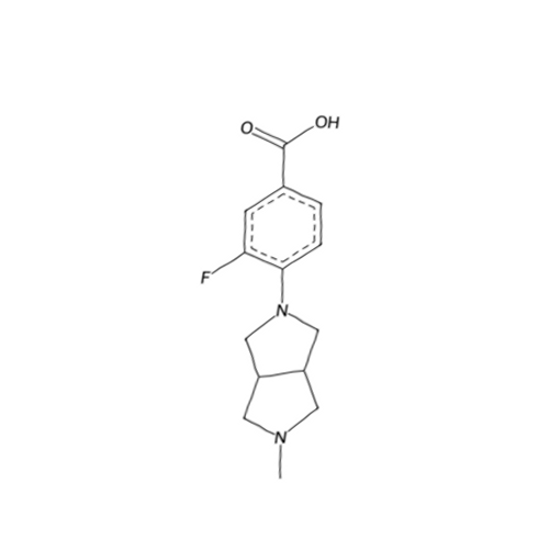 CN1CC2CN(c3ccc(C(=O)O)cc3F)CC2C1